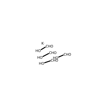 O=CO.O=CO.O=CO.O=CO.[K]